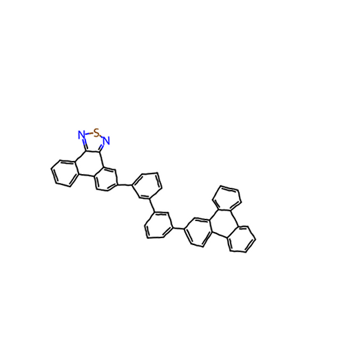 c1cc(-c2cccc(-c3ccc4c5ccccc5c5nsnc5c4c3)c2)cc(-c2ccc3c4ccccc4c4ccccc4c3c2)c1